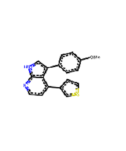 COc1ccc(-c2c[nH]c3nccc(-c4ccsc4)c23)cc1